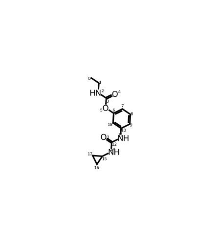 CCNC(=O)Oc1cccc(NC(=O)NC2CC2)c1